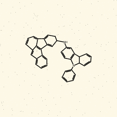 C1=CC2c3cc(NC4C=C5C(=CC4)c4cccc6cc7ccccc7c5c46)ccc3N(c3ccccc3)C2C=C1